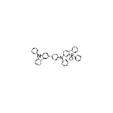 O=P1(c2ccccc2)c2ccccc2-c2ccc3c(c21)c1ccccc1n3-c1ccc(-c2ccc3c(c2)c2ccccc2n3-c2ccccc2)cc1